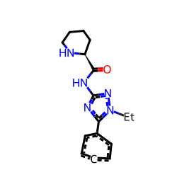 CCn1nc(NC(=O)[C@@H]2CCCCN2)nc1-c1ccccc1